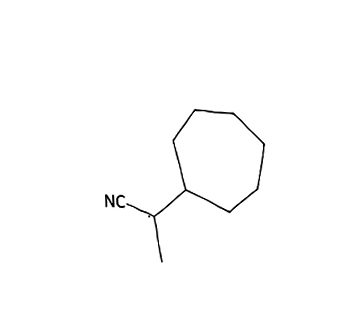 C[C](C#N)C1CCCCCC1